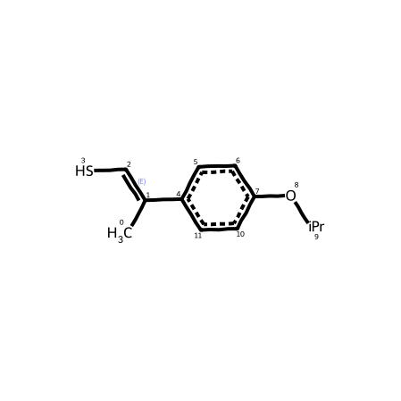 C/C(=C\S)c1ccc(OC(C)C)cc1